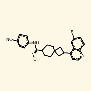 N#Cc1ccc(N/C(=N/O)C2CCC3(CC2)CC(c2ccnc4ccc(F)cc24)C3)cc1